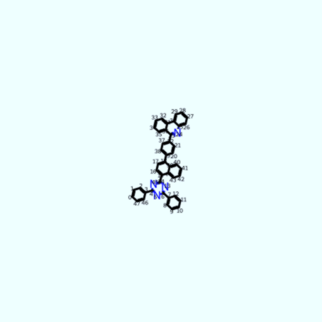 c1ccc(-c2nc(-c3ccccc3)nc(-c3ccc(-c4ccc(-c5nc6ccccc6c6ccccc56)cc4)c4ccccc34)n2)cc1